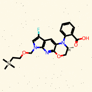 C[C@@H]1COc2nc3c(cc2N1c1ccccc1C(=O)O)c(F)cn3COCC[Si](C)(C)C